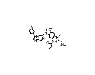 C=CC(=O)Nc1cc(Nc2cn3c(-c4ccn(C)c4)cnc3cn2)c(OC)cc1N(C)CCN(C)C